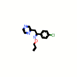 C=CCON=C(Cc1cnccn1)c1ccc(Cl)cc1